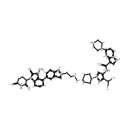 Cn1c(=O)n(C2CCC(=O)NC2=O)c2cccc(-c3ccc4nn(CCOC[C@H]5CC[C@H](n6cc(NC(=O)c7cnn8ccc(N9CCOCC9)nc78)c(C(F)F)n6)CC5)cc4c3)c21